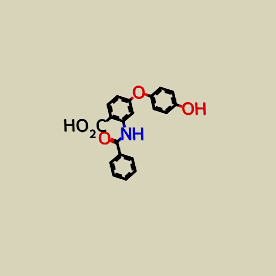 O=C(Nc1cc(Oc2ccc(O)cc2)ccc1C(=O)O)c1ccccc1